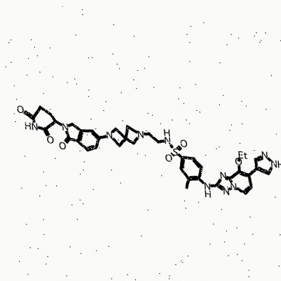 CCOc1c(-c2cn[nH]c2)ccn2nc(Nc3ccc(S(=O)(=O)NCCN4CC5(C4)CN(c4ccc6c(c4)CN(C4CCC(=O)NC4=O)C6=O)C5)cc3C)nc12